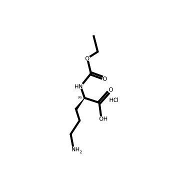 CCOC(=O)N[C@H](CCCN)C(=O)O.Cl